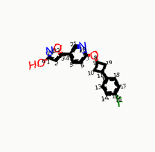 Oc1cc(-c2ccc(OC3CC(c4ccc(F)cc4)C3)nc2)on1